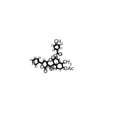 CC(=O)OC1CCC2(C)C(CC(OC(=O)c3ccc(C)cc3)C3(C)Oc4cc(-c5cccnc5)oc(=O)c4C(O)C23)C1C